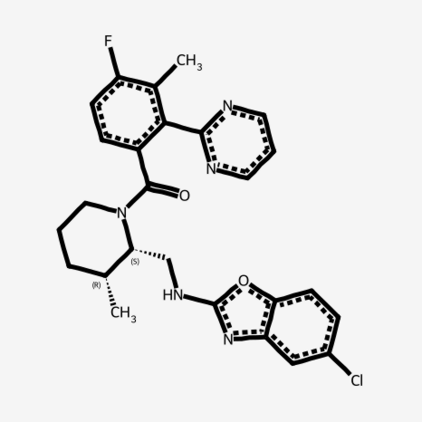 Cc1c(F)ccc(C(=O)N2CCC[C@@H](C)[C@H]2CNc2nc3cc(Cl)ccc3o2)c1-c1ncccn1